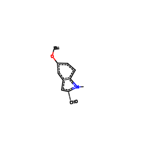 CCC(C)Oc1ccc2c(c1)cc(C=O)n2C